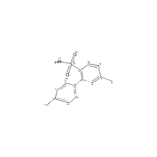 Cc1ccc(-c2cc(C)ccc2S([NH])(=O)=O)cc1